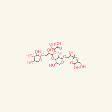 CC(C)(OC(CO)C(=O)O)C(O)COC1OCC(O)C(OC(OC(CO)C(=O)O)C(O)COC2OCC(O)C(O)C2O)C1O